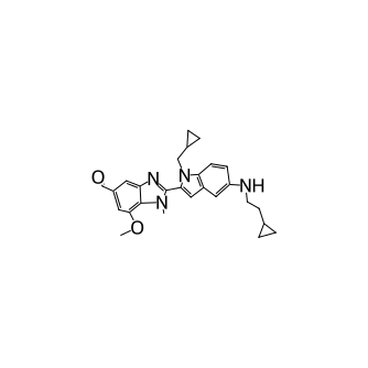 COc1cc(C=O)cc2nc(-c3cc4cc(NCCC5CC5)ccc4n3CC3CC3)n(C)c12